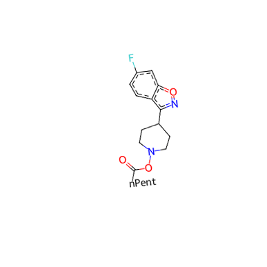 CCCCCC(=O)ON1CCC(c2noc3cc(F)ccc23)CC1